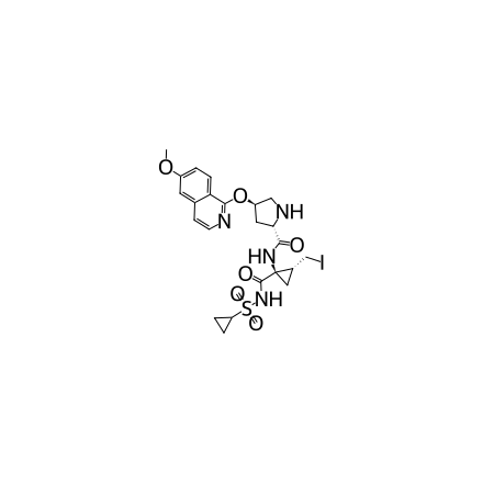 COc1ccc2c(O[C@H]3CN[C@H](C(=O)N[C@]4(C(=O)NS(=O)(=O)C5CC5)C[C@H]4CI)C3)nccc2c1